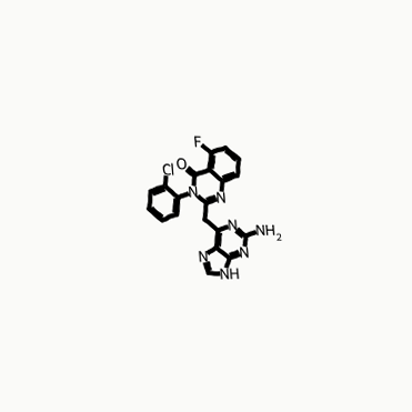 Nc1nc(Cc2nc3cccc(F)c3c(=O)n2-c2ccccc2Cl)c2nc[nH]c2n1